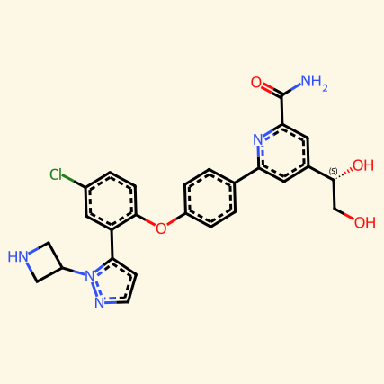 NC(=O)c1cc([C@H](O)CO)cc(-c2ccc(Oc3ccc(Cl)cc3-c3ccnn3C3CNC3)cc2)n1